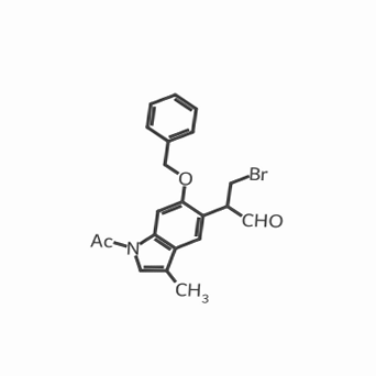 CC(=O)n1cc(C)c2cc(C(C=O)CBr)c(OCc3ccccc3)cc21